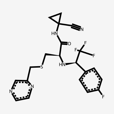 N#CC1(NC(=O)[C@H](CSCc2cnccn2)N[C@H](c2ccc(F)cc2)C(F)(F)F)CC1